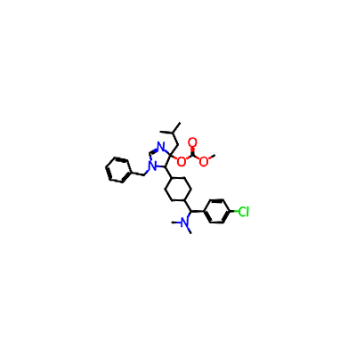 COC(=O)OC1(CC(C)C)N=CN(Cc2ccccc2)C1C1CCC(C(c2ccc(Cl)cc2)N(C)C)CC1